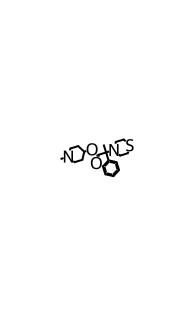 CN1CCC(OC(=O)C(C)(c2ccccc2)N2CCSCC2)CC1